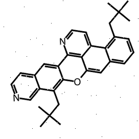 CC(C)(C)Cc1c2c(cc3ccncc13)-c1nccc3c1c(cc1cccc(CC(C)(C)C)c13)O2